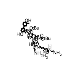 Cc1cc(-c2ccc(O)c(C[C@H](NC(=O)OC(C)(C)C)C(=O)N[C@@H](CCCNC(=O)OC(C)(C)C)C(=O)NCC(=O)N[C@@H](CCCN)C(=O)NCCC[C@H](N)CC(=O)NCCN)c2)ccc1O